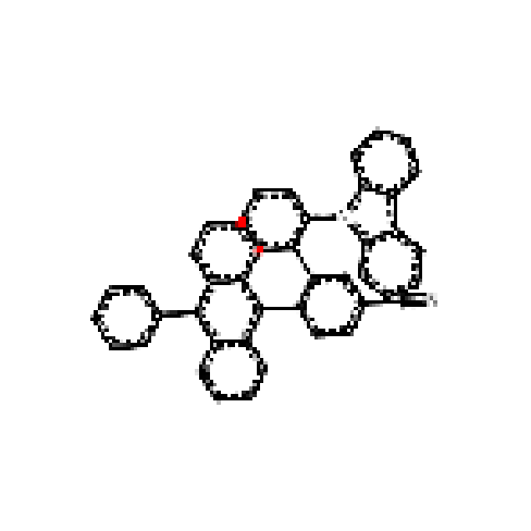 N#Cc1ccc(-c2c3ccccc3c(-c3ccccc3)c3ccccc23)c(-c2ccccc2-n2c3ccccc3c3ccccc32)c1